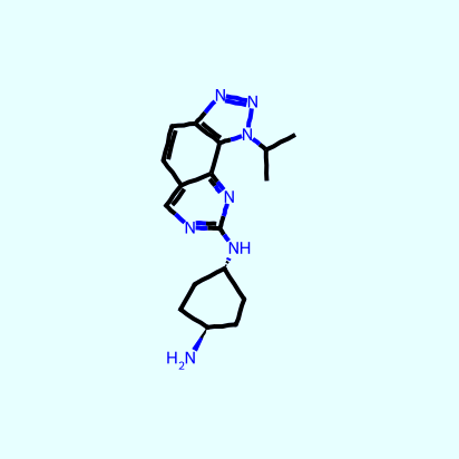 CC(C)n1nnc2ccc3cnc(N[C@H]4CC[C@H](N)CC4)nc3c21